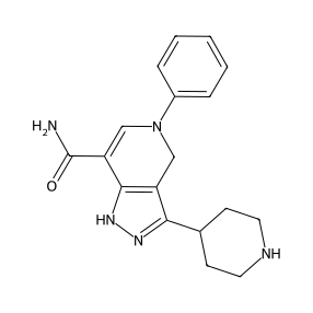 NC(=O)C1=CN(c2ccccc2)Cc2c(C3CCNCC3)n[nH]c21